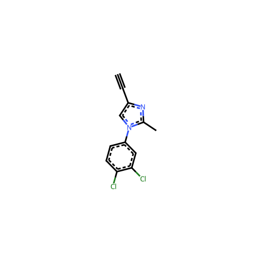 C#Cc1cn(-c2ccc(Cl)c(Cl)c2)c(C)n1